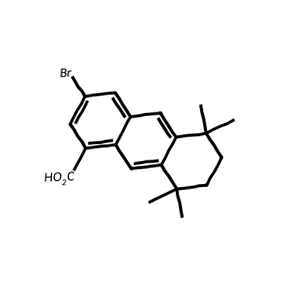 CC1(C)CCC(C)(C)c2cc3c(C(=O)O)cc(Br)cc3cc21